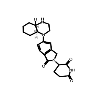 O=C1CCC(N2Cc3cc(N4CCN[C@H]5CCCC[C@@H]54)ccc3C2=O)C(=O)N1